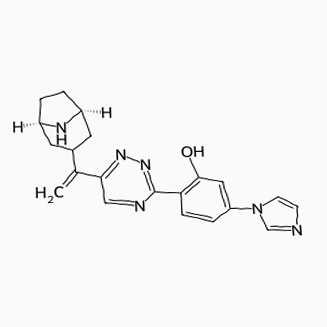 C=C(c1cnc(-c2ccc(-n3ccnc3)cc2O)nn1)C1C[C@H]2CC[C@@H](C1)N2